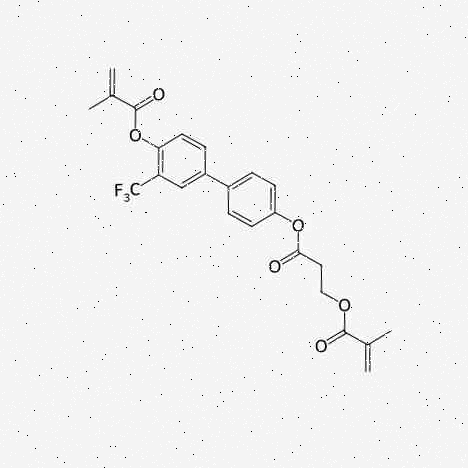 C=C(C)C(=O)OCCC(=O)Oc1ccc(-c2ccc(OC(=O)C(=C)C)c(C(F)(F)F)c2)cc1